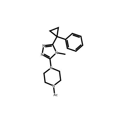 CC(=O)N1CCN(c2nnc(C3(c4ccccc4)CC3)n2C)CC1